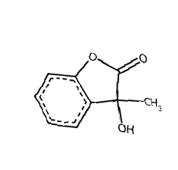 CC1(O)C(=O)Oc2ccccc21